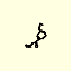 CC(=O)S[C@H]1CCCN(C(=O)OC(C)(C)C)C1